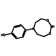 Oc1ccc(N2CCOBOCC2)cc1